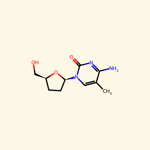 Cc1cn([C@H]2CC[C@@H]([CH]O)O2)c(=O)nc1N